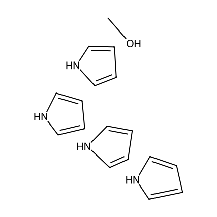 CO.c1cc[nH]c1.c1cc[nH]c1.c1cc[nH]c1.c1cc[nH]c1